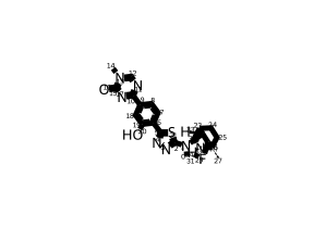 CN(c1nnc(-c2ccc(-c3ncn(C)c(=O)n3)cc2O)s1)[C@@H]1C2CC[C@](C)([C@H]1F)N(C)C2